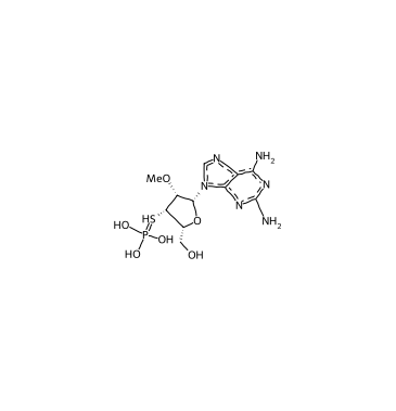 CO[C@H]1[C@@H]([SH]=P(O)(O)O)[C@@H](CO)O[C@H]1n1cnc2c(N)nc(N)nc21